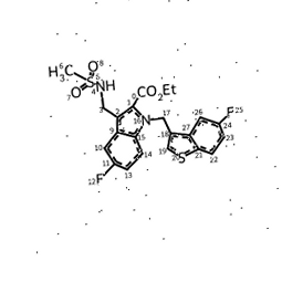 CCOC(=O)c1c(CNS(C)(=O)=O)c2cc(F)ccc2n1Cc1csc2ccc(F)cc12